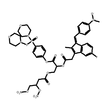 CC1=C(CC(=O)OC(COC(=O)CC(CO[N+](=O)[O-])O[N+](=O)[O-])C(=O)Oc2ccc(P(=S)(SN3CCOCC3)N3CCOCC3)cc2)c2cc(F)ccc2/C1=C\c1ccc([S+](C)[O-])cc1